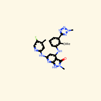 COc1c(Nc2cc(Nc3cc(C)c(F)cn3)nc3[nH]n(C)c(=O)c23)cccc1-c1nnn(C)n1